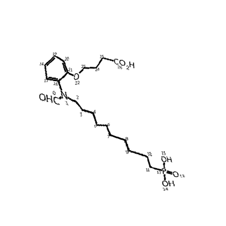 O=CN(CCCCCCCCCCP(=O)(O)O)c1ccccc1OCCCC(=O)O